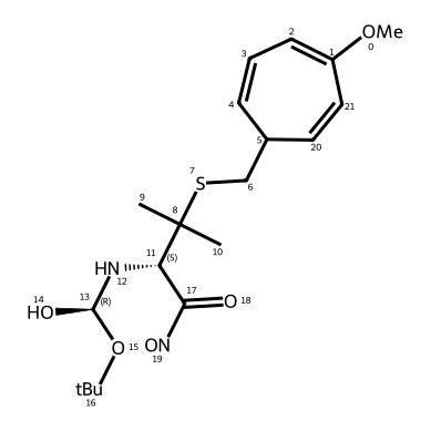 COC1=CC=CC(CSC(C)(C)[C@@H](N[C@H](O)OC(C)(C)C)C(=O)N=O)C=C1